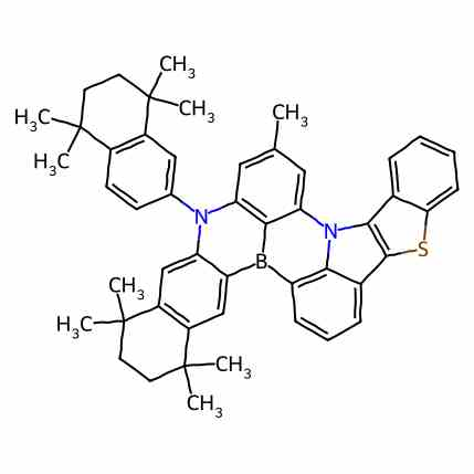 Cc1cc2c3c(c1)-n1c4c(cccc4c4sc5ccccc5c41)B3c1cc3c(cc1N2c1ccc2c(c1)C(C)(C)CCC2(C)C)C(C)(C)CCC3(C)C